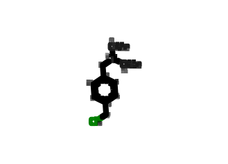 C[O][Ti]([CH2]c1ccc(CCl)cc1)[O]C